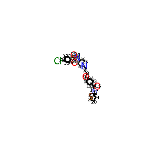 CN(C1CCN(CCCOc2ccc(C(=O)/C=C/c3cccs3)cc2)CC1)S(=O)(=O)c1ccc(Cl)cc1